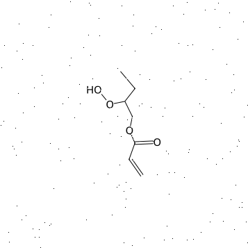 C=CC(=O)OCC(CC)OO